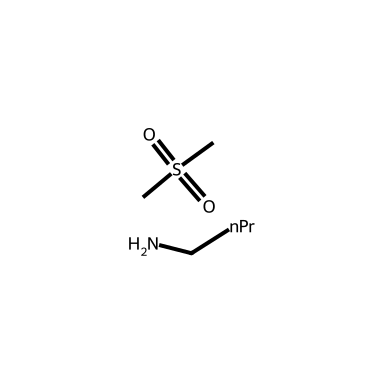 CCCCN.CS(C)(=O)=O